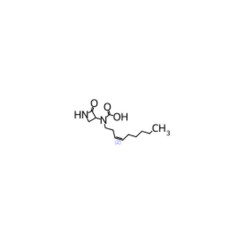 CCCCC/C=C\CCN(C(=O)O)C1CNC1=O